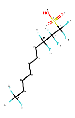 O=S(=O)(O)C(F)(F)C(F)(F)C(F)(F)CCCCCCC(F)(F)F